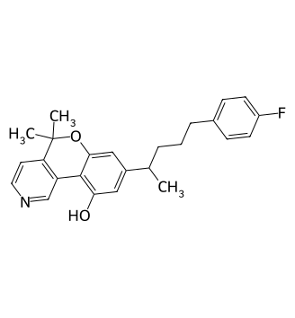 CC(CCCc1ccc(F)cc1)c1cc(O)c2c(c1)OC(C)(C)c1ccncc1-2